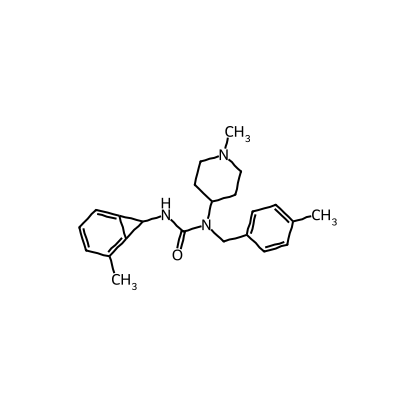 Cc1ccc(CN(C(=O)NC2c3cccc(C)c32)C2CCN(C)CC2)cc1